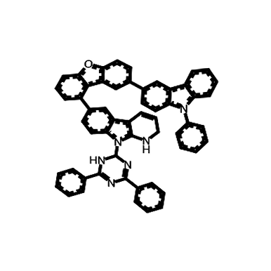 C1=Cc2c(n(C3N=C(c4ccccc4)N=C(c4ccccc4)N3)c3ccc(-c4cccc5oc6ccc(-c7ccc8c(c7)c7ccccc7n8-c7ccccc7)cc6c45)cc23)NC1